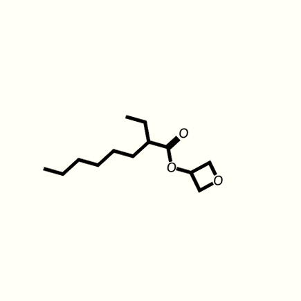 CCCCCCC(CC)C(=O)OC1COC1